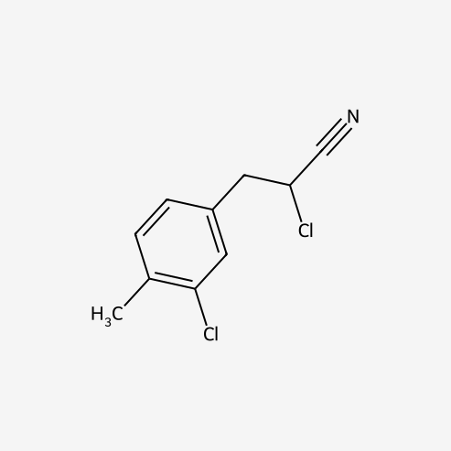 Cc1ccc(CC(Cl)C#N)cc1Cl